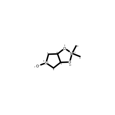 C[Si]1(C)OC2C[S+]([O-])CC2O1